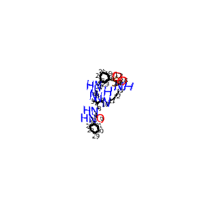 O=C(NCc1cnc2nc1NCCCNS(=O)(=O)c1cccc(c1)N2)Nc1ccccc1